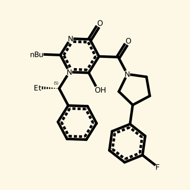 CCCCc1nc(=O)c(C(=O)N2CCC(c3cccc(F)c3)C2)c(O)n1[C@@H](CC)c1ccccc1